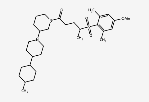 COc1cc(C)c(S(=O)(=O)N(C)CCC(=O)N2CCCC(N3CCC(C4CCN(C)CC4)CC3)C2)c(C)c1